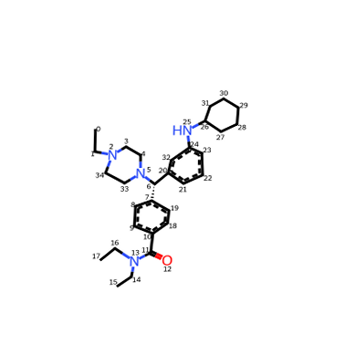 CCN1CCN([C@@H](c2ccc(C(=O)N(CC)CC)cc2)c2cccc(NC3CCCCC3)c2)CC1